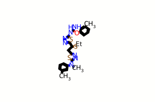 CCSC(Cc1nnc(N(C)c2cccc(C)c2)s1)c1nnc(NC(=N)Oc2cccc(C)c2)s1